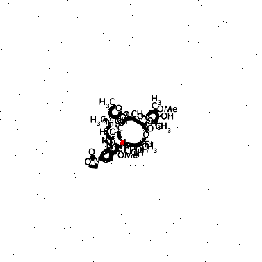 CC[C@H]1OC(=O)[C@H](C)[C@@H](O[C@H]2C[C@@](C)(OC)[C@@H](O)[C@H](C)O2)[C@H](C)[C@@H](O[C@@H]2O[C@H](C)C[C@H](N(C)CCc3cn([C@H](CF)[C@H](OC)c4ccc(N5CCOC5=O)cc4)nn3)[C@H]2O)[C@](C)(O)C[C@@H](C)CN(C)[C@H](C)[C@@H](O)[C@]1(C)O